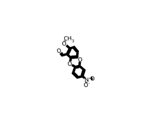 COc1ccc2c(c1C=O)Oc1ccc([N+](=O)[O-])cc1O2